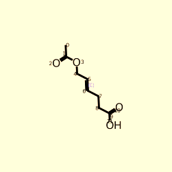 CC(=O)OC/C=C/CCC(=O)O